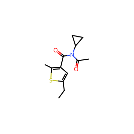 CCc1cc(C(=O)N(C(C)=O)C2CC2)c(C)s1